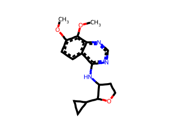 COc1ccc2c(NC3CCOC3C3CC3)ncnc2c1OC